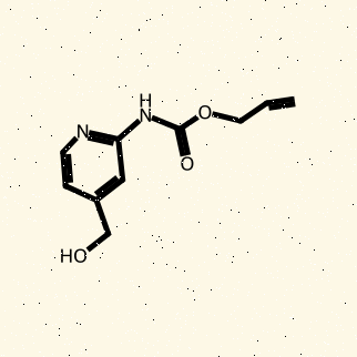 C=CCOC(=O)Nc1cc(CO)ccn1